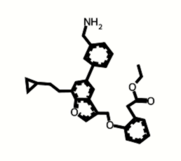 CCOC(=O)Cc1ccccc1OCc1coc2c(CCC3CC3)cc(-c3cccc(CN)c3)cc12